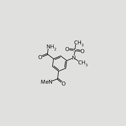 CNC(=O)c1cc(C(N)=O)cc(N(C)S(C)(=O)=O)c1